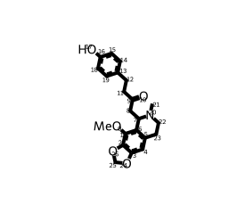 COc1c2c(cc3c1C(CC(=O)CCc1ccc(O)cc1)N(C)CC3)OCO2